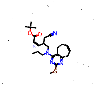 CCCN(CC(/C=C\C(=O)OC(C)(C)C)CC#N)c1nc(SC)nc2c1CCC=CC2